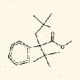 COC(=O)C(CC(C)(C)C)(c1ccccc1)C(C)(C)C